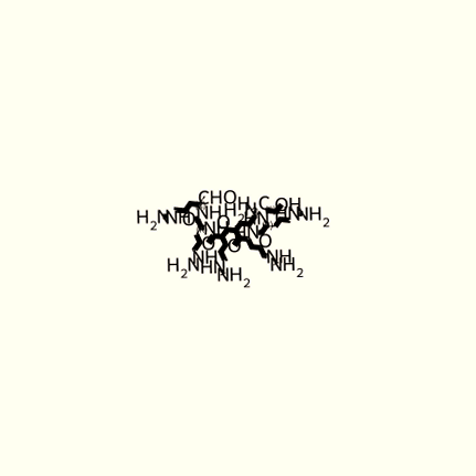 C[C@@H](CO)N[C@H](CCCNN)C(=O)NC(CCCNN)C(=O)C(CCCN)C(=O)C(CCCNN)C(=O)N[C@H](CCCNN)C(=O)N[C@@H](C=O)CCCNN